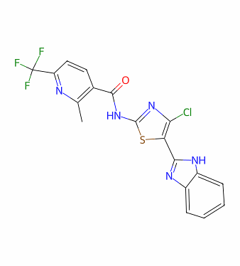 Cc1nc(C(F)(F)F)ccc1C(=O)Nc1nc(Cl)c(-c2nc3ccccc3[nH]2)s1